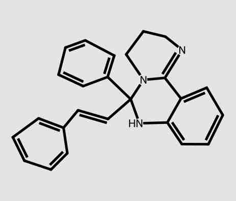 C(=CC1(c2ccccc2)Nc2ccccc2C2=NCCCN21)c1ccccc1